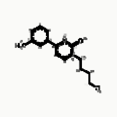 Cc1cccc(-c2ccn(CCCCCl)c(=O)n2)c1